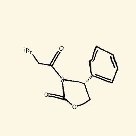 CC(C)CC(=O)N1C(=O)OC[C@H]1c1ccccc1